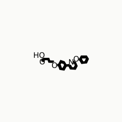 O=C(O)CCCOc1ccc(-c2cccc(Oc3ccccc3)n2)cc1